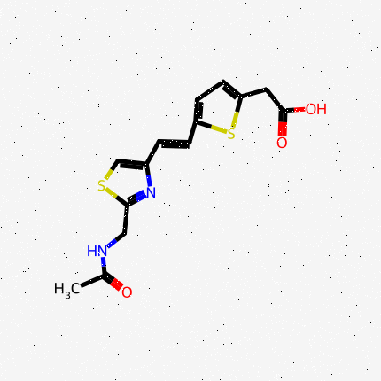 CC(=O)NCc1nc(/C=C/c2ccc(CC(=O)O)s2)cs1